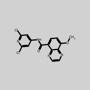 COc1ccc(C(=O)Nc2cc(Cl)nc(Cl)c2)c2nccnc12